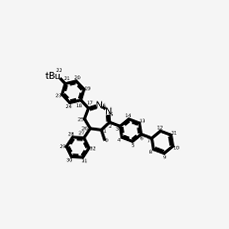 CC1C(c2ccc(C3C=CC=CC3)cc2)=NN=C(c2ccc(C(C)(C)C)cc2)CC1c1ccccc1